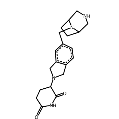 O=C1CCC(N2Cc3ccc(CN4C5CCC4CNC5)cc3C2)C(=O)N1